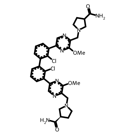 COc1nc(-c2cccc(-c3cccc(-c4cnc(CN5CC[C@@H](C(N)=O)C5)c(OC)n4)c3Cl)c2Cl)cnc1CN1CCC(C(N)=O)C1